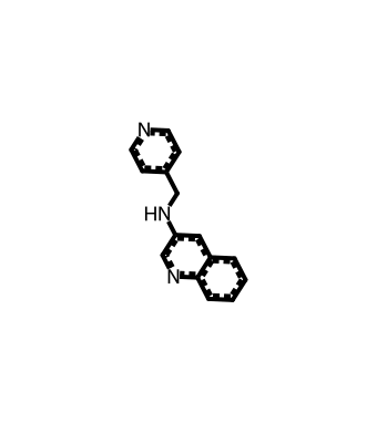 c1ccc2ncc(NCc3ccncc3)cc2c1